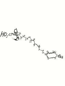 CC(C)(C)c1ccc(CCCCCCCCCCCCC(Cl)(Cl)C(=O)O)cc1